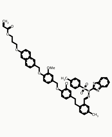 C=CC(=O)OCCCOc1ccc2cc(COc3ccc(COc4ccc(CCc5ccc(C)cc5/C=N/N(c5nc6ccccc6s5)S(=O)(=O)c5ccc(C)cc5)cc4Cl)cc3OC)ccc2c1